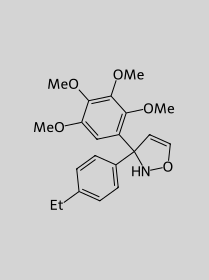 CCc1ccc(C2(c3cc(OC)c(OC)c(OC)c3OC)C=CON2)cc1